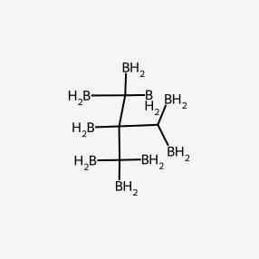 BC(B)C(B)(C(B)(B)B)C(B)(B)B